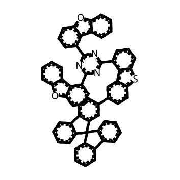 c1ccc2c(c1)-c1ccccc1C21c2ccccc2-c2ccc(-c3ccc4sc5cccc(-c6nc(-c7cccc8oc9ccccc9c78)nc(-c7cccc8oc9ccccc9c78)n6)c5c4c3)cc21